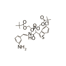 CC(C)(C)C(=O)OCOP(=O)(OCOC(=O)C(C)(C)C)C(C(=O)NC=Cc1cccc(N)c1)c1csc2ccc(Cl)cc12